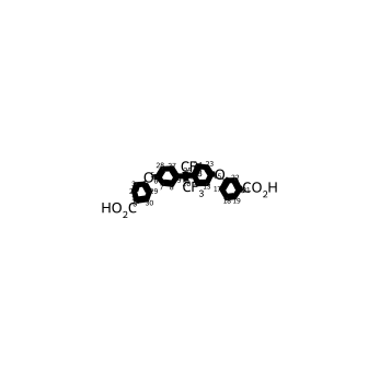 O=C(O)c1ccc(Oc2ccc(C(c3ccc(Oc4cccc(C(=O)O)c4)cc3)(C(F)(F)F)C(F)(F)F)cc2)cc1